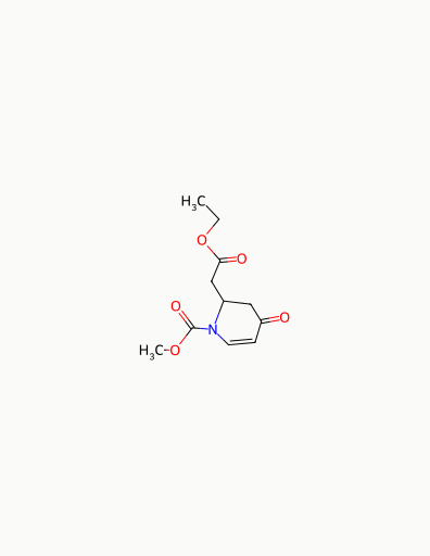 CCOC(=O)CC1CC(=O)C=CN1C(=O)OC